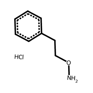 Cl.NOCCc1ccccc1